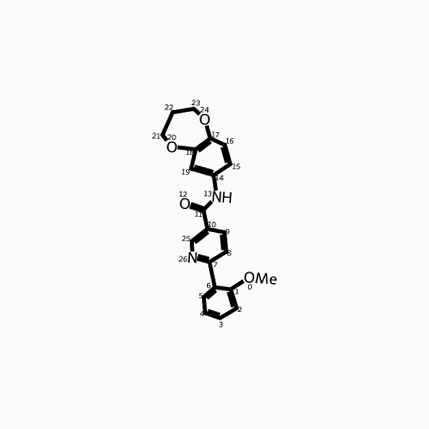 COc1ccccc1-c1ccc(C(=O)Nc2ccc3c(c2)OCCCO3)cn1